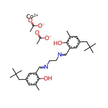 CC(=O)[O-].CC(=O)[O-].Cc1cc(CC(C)(C)C)cc(C=NCCN=Cc2cc(CC(C)(C)C)cc(C)c2O)c1O.[Co+2]